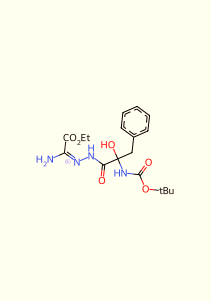 CCOC(=O)/C(N)=N\NC(=O)C(O)(Cc1ccccc1)NC(=O)OC(C)(C)C